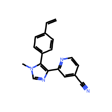 C=Cc1ccc(-c2c(-c3cc(C#N)ccn3)ncn2C)cc1